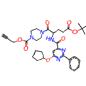 C#CCOC(=O)N1CCN(C(=O)C(CCC(=O)OC(C)(C)C)NC(=O)c2cc(OC3CCCC3)nc(-c3ccccc3)n2)CC1